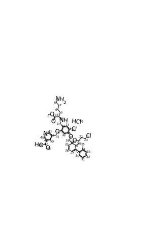 COC(=O)C(CCCCN)NCc1cc(Cl)c(OCC2(OCCCCl)C=CC=C(c3ccccc3C)[C@@H]2C)cc1OCc1cncc(C(=O)O)c1.Cl